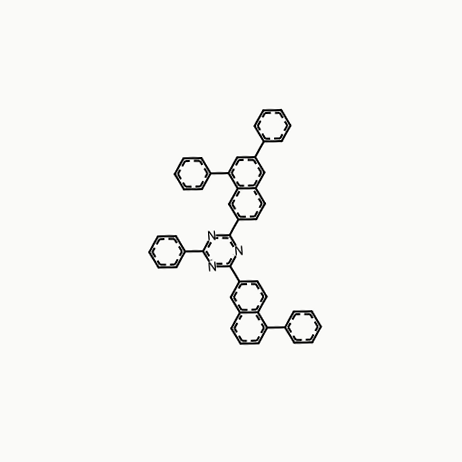 c1ccc(-c2cc(-c3ccccc3)c3cc(-c4nc(-c5ccccc5)nc(-c5ccc6c(-c7ccccc7)cccc6c5)n4)ccc3c2)cc1